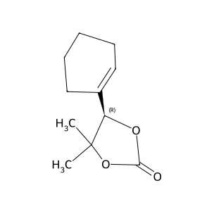 CC1(C)OC(=O)O[C@@H]1C1=CCCCC1